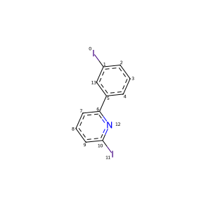 Ic1cccc(-c2cccc(I)n2)c1